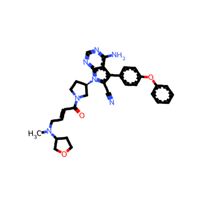 CN(C/C=C/C(=O)N1CC[C@@H](n2c(C#N)c(-c3ccc(Oc4ccccc4)cc3)c3c(N)ncnc32)C1)C1CCOC1